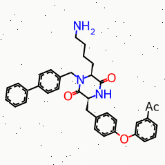 CC(=O)c1cccc(Oc2ccc(C[C@@H]3NC(=O)[C@H](CCCCN)N(Cc4ccc(-c5ccccc5)cc4)C3=O)cc2)c1